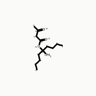 CCCCC(P)(CCCC)OC(=O)CC(C)=O